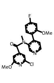 COc1cc(C(=O)N(C)c2cnccc2-c2ccc(F)cc2OC)cc(Cl)n1